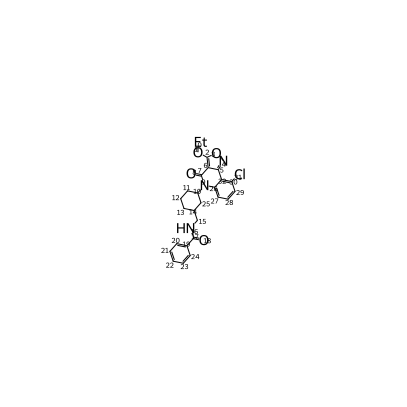 CCOc1onc2c1c(=O)n(C1CCCC(CNC(=O)c3ccccc3)C1)c1cccc(Cl)c21